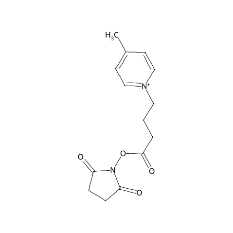 Cc1cc[n+](CCCC(=O)ON2C(=O)CCC2=O)cc1